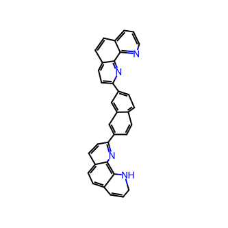 C1=Cc2ccc3ccc(-c4ccc5ccc(-c6ccc7ccc8cccnc8c7n6)cc5c4)nc3c2NC1